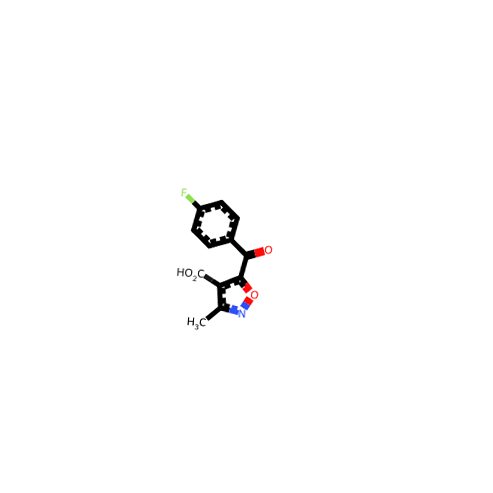 Cc1noc(C(=O)c2ccc(F)cc2)c1C(=O)O